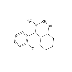 CN(C)C(c1ccccc1Cl)C1CCCCC1O